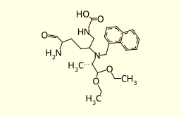 CCOC(OCC)[C@H](C)N(Cc1cccc2ccccc12)C(CCC(N)C=O)CNC(=O)O